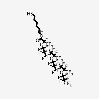 O=C(NCCCCCCS)C(F)(OC(F)(F)C(F)(CF)OC(F)(F)C(F)(OC(F)(F)C(F)(CF)OC(F)(F)C(F)(OC(F)(F)C(F)(F)C(F)(F)F)C(F)(F)F)C(F)(F)F)C(F)(F)F